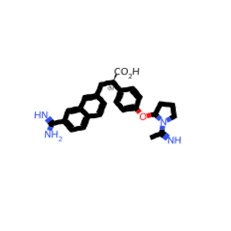 CC(=N)N1CCCC1Oc1ccc([C@H](Cc2ccc3ccc(C(=N)N)cc3c2)C(=O)O)cc1